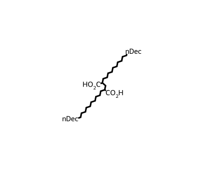 CCCCCCCCCCCCCCCCCCCCC(CC(CCCCCCCCCCCCCCCCCCCC)C(=O)O)C(=O)O